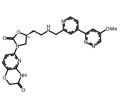 COc1cnnc(-c2ccnc(CNCC[C@H]3CN(c4ccc5c(n4)NC(=O)CO5)C(=O)O3)c2)c1